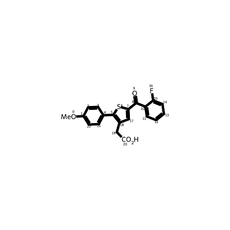 COc1ccc(-c2sc(C(=O)c3ccccc3F)cc2CC(=O)O)cc1